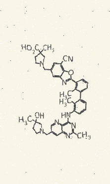 Cc1nc(Nc2cccc(-c3cccc(-c4nc5cc(CN6CCC(C)(C(=O)O)C6)cc(C#N)c5o4)c3C)c2C)c2ncc(CN3CC[C@](C)(O)C3)cc2n1